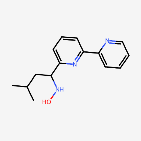 CC(C)CC(NO)c1cccc(-c2ccccn2)n1